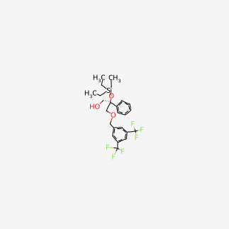 CC[Si](CC)(CC)O[C@](CO)(COCc1cc(C(F)(F)F)cc(C(F)(F)F)c1)c1ccccc1